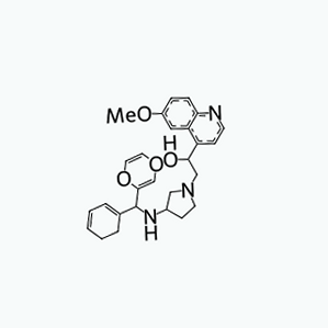 COc1ccc2nccc(C(O)CN3CCC(NC(C4=CC=CCC4)C4=COC=CO4)C3)c2c1